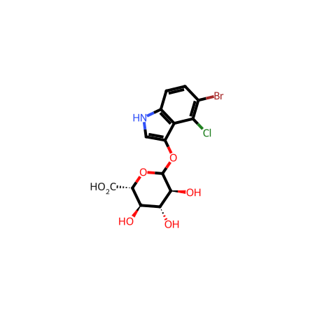 O=C(O)[C@@H]1OC(Oc2c[nH]c3ccc(Br)c(Cl)c23)[C@@H](O)[C@H](O)[C@H]1O